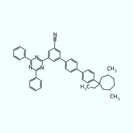 CCC1(c2ccc(-c3ccc(-c4cc(C#N)cc(-c5nc(-c6ccccc6)nc(-c6ccccc6)n5)c4)cc3)cc2)C[C@H](C)CC[C@H](C)C1